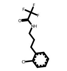 O=C(NCCCc1ccccc1Cl)C(F)(F)F